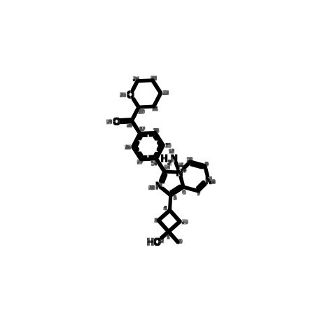 CC1(O)CC(C2=C3C=NC=C[N+]3(N)C(c3ccc(C(=O)C4CCCCO4)cc3)=N2)C1